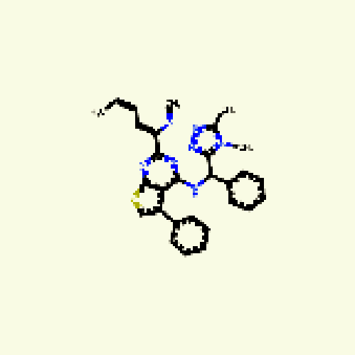 C=N/C(=C\C=C/C)c1nc(NC(c2ccccc2)c2nnc(C)n2C)c2c(-c3ccccc3)csc2n1